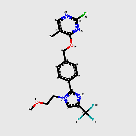 COCCn1cc(C(F)(F)F)nc1-c1ccc(COc2nc(Cl)ncc2C)cc1